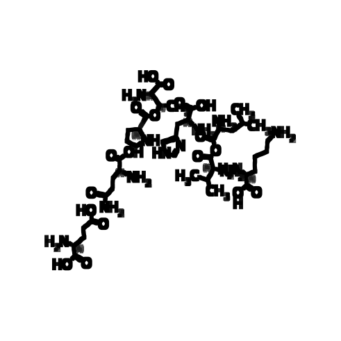 CC(C)C[C@H](N)C(=O)OC(=O)[C@@H](N)C(C)C.C[C@@H](OC(=O)[C@@H]1CCCN1)[C@H](N)C(=O)O.NC(=O)CC[C@H](N)C(=O)O.NCCCC[C@H](N)C(=O)O.N[C@@H](CCC(=O)O)C(=O)O.N[C@@H](Cc1c[nH]cn1)C(=O)O